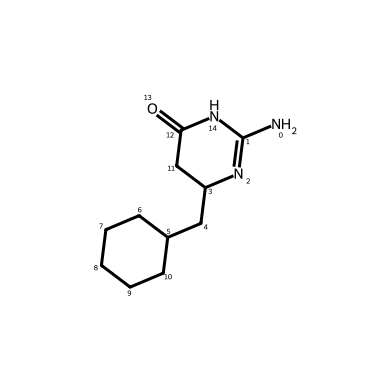 NC1=NC(CC2CCCCC2)CC(=O)N1